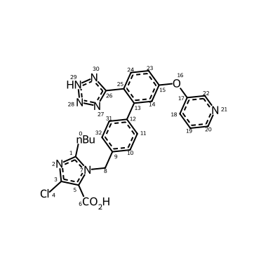 CCCCc1nc(Cl)c(C(=O)O)n1Cc1ccc(-c2cc(Oc3cccnc3)ccc2-c2nn[nH]n2)cc1